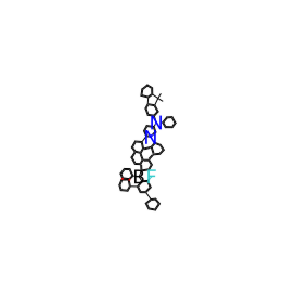 CC1(C)c2ccccc2-c2ccc(N(c3ccccc3)c3ccc(-c4ccc5ccc6c(B(c7ccccc7)c7c(F)cc(-c8ccccc8)cc7-c7ccccc7)ccc7c8ccccc8c4c5c67)nc3)cc21